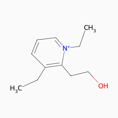 CCc1ccc[n+](CC)c1CCO